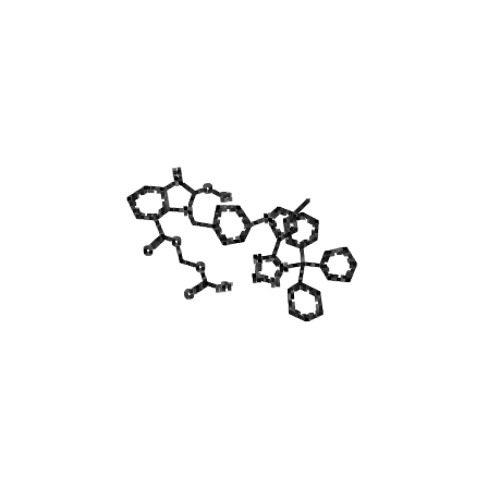 CCCC(=O)OCOC(=O)c1cccc2c1N(Cc1ccc(-n3cc(C)cc3-c3nnnn3C(c3ccccc3)(c3ccccc3)c3ccccc3)cc1)C(OCC)N2